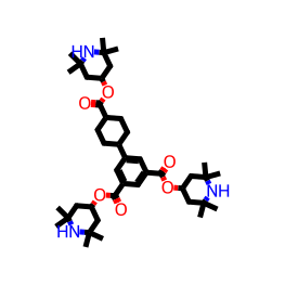 CC1(C)CC(OC(=O)c2cc(C(=O)OC3CC(C)(C)NC(C)(C)C3)cc(C3CCC(C(=O)OC4CC(C)(C)NC(C)(C)C4)CC3)c2)CC(C)(C)N1